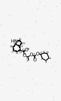 CC(OC(=O)OC1CCCCC1)OC(=O)c1cccc2[nH]ccc12